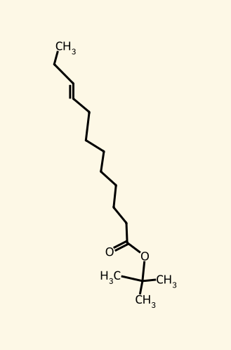 CC/C=C/CCCCCCCC(=O)OC(C)(C)C